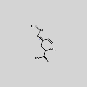 C=C/C(CC(N)C(=O)S)=N\NN